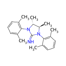 Cc1cccc(C)c1N1C(=N)N(c2c(C)cccc2C)[C@H](C)[C@H]1C